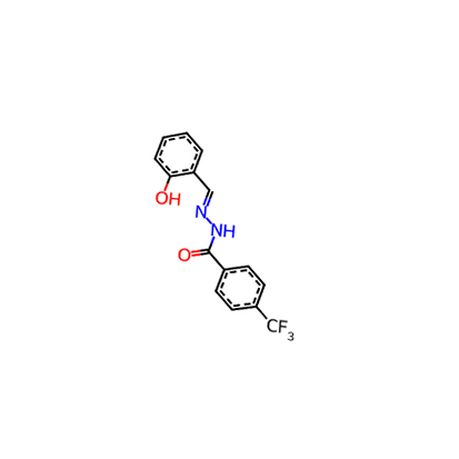 O=C(N/N=C/c1ccccc1O)c1ccc(C(F)(F)F)cc1